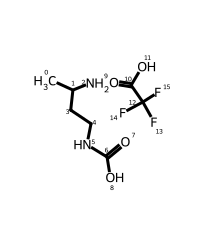 CC(N)CCNC(=O)O.O=C(O)C(F)(F)F